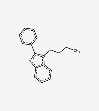 CCCCn1c(-c2ccccc2)nc2ccccc21